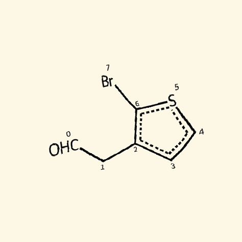 O=CCc1ccsc1Br